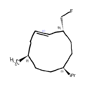 CC(C)[C@H]1CC[C@@H](C)C/C=C/[C@H](CF)CC1